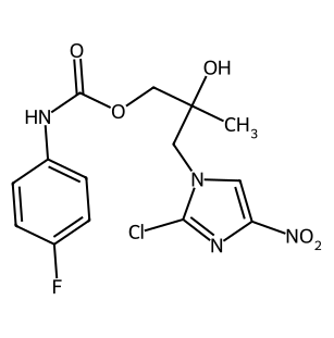 CC(O)(COC(=O)Nc1ccc(F)cc1)Cn1cc([N+](=O)[O-])nc1Cl